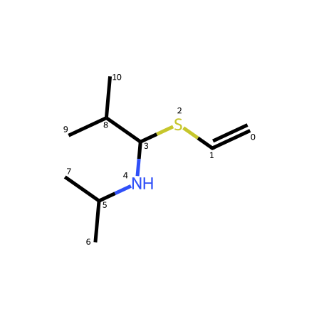 C=CSC(NC(C)C)C(C)C